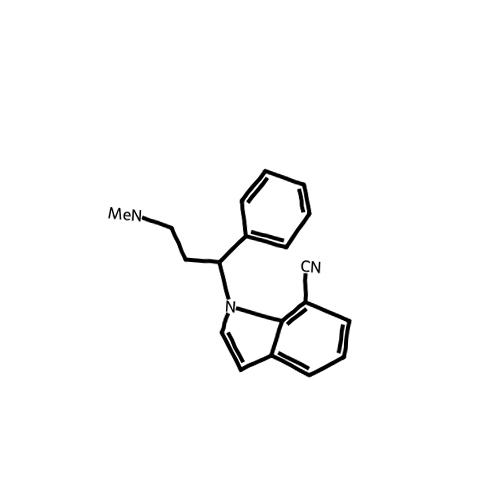 CNCCC(c1ccccc1)n1ccc2cccc(C#N)c21